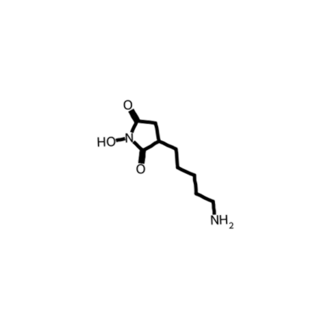 NCCCCCC1CC(=O)N(O)C1=O